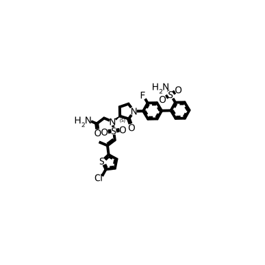 CC(=CS(=O)(=O)N(CC(N)=O)[C@H]1CCN(c2ccc(-c3ccccc3S(N)(=O)=O)cc2F)C1=O)c1ccc(Cl)s1